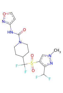 Cn1cc(S(=O)(=O)C(F)(F)C2CCN(C(=O)Nc3ccon3)CC2)c(C(F)F)n1